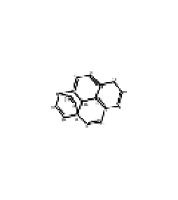 C1=CC2=C3C(=CC=C4C5C=CC(C=C2)(C=C5)C43)C1